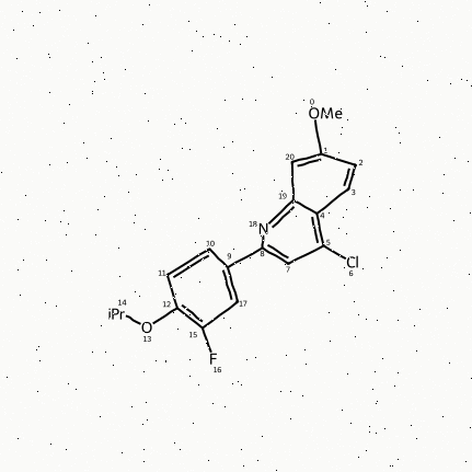 COc1ccc2c(Cl)cc(-c3ccc(OC(C)C)c(F)c3)nc2c1